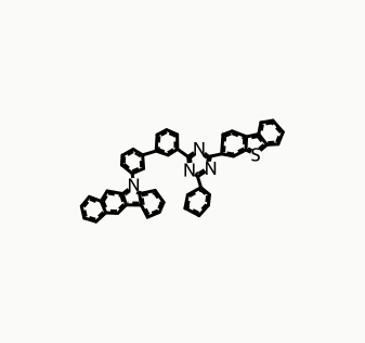 c1ccc(-c2nc(-c3cccc(-c4cccc(-n5c6ccccc6c6cc7ccccc7cc65)c4)c3)nc(-c3ccc4c(c3)sc3ccccc34)n2)cc1